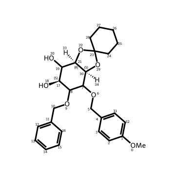 COc1ccc(COC2C(OCc3ccccc3)[C@@H](O)C(O)[C@H]3OC4(CCCCC4)O[C@@H]23)cc1